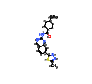 CO[C@H]1CC[C@@H](C(=O)Nc2ncc3ccc(-c4nnc(C)s4)cc3n2)CC1